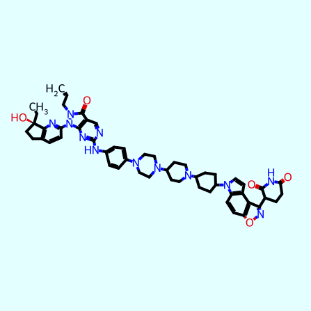 C=CCn1c(=O)c2cnc(Nc3ccc(N4CCN(C5CCN(C6CCC(n7ccc8c9c(C%10CCC(=O)NC%10=O)noc9ccc87)CC6)CC5)CC4)cc3)nc2n1-c1ccc2c(n1)[C@@](O)(CC)CC2